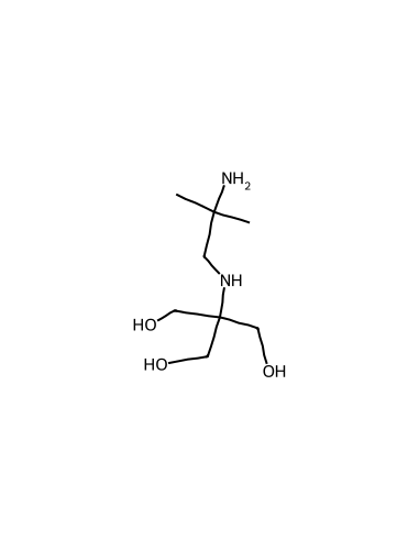 CC(C)(N)CNC(CO)(CO)CO